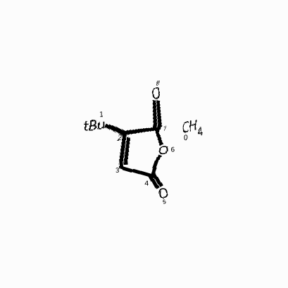 C.CC(C)(C)C1=CC(=O)OC1=O